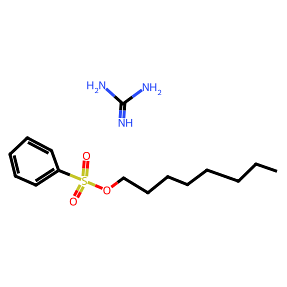 CCCCCCCCOS(=O)(=O)c1ccccc1.N=C(N)N